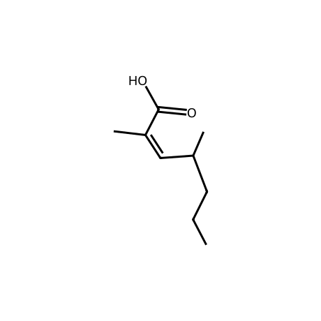 CCCC(C)C=C(C)C(=O)O